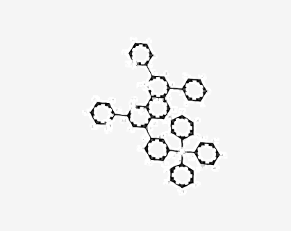 c1ccc(-c2cc(-c3ccccn3)nc3c2ccc2c(-c4cccc([Si](c5ccccc5)(c5ccccc5)c5ccccc5)c4)cc(-c4ccccn4)nc23)cc1